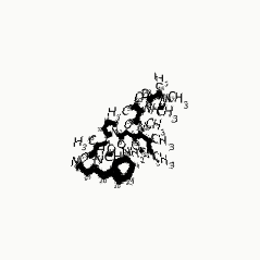 CCC(C)C(C(CC(=O)N1CCC[C@H]1C(OC)C(C)C(=O)NC(CC#N)Cc1cccc(N)c1)OC)N(C)C(=O)C(NC(=O)C(C)N(C)C)C(C)C